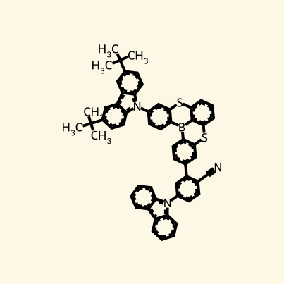 CC(C)(C)c1ccc2c(c1)c1cc(C(C)(C)C)ccc1n2-c1ccc2c(c1)Sc1cccc3c1B2c1ccc(-c2cc(-n4c5ccccc5c5ccccc54)ccc2C#N)cc1S3